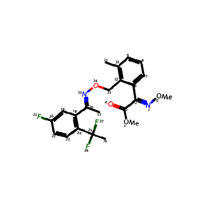 CO/N=C(/C(=O)OC)c1cccc(C)c1CO/N=C(\C)c1cc(F)ccc1C(C)(F)F